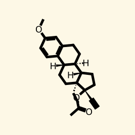 C#C[C@]1(OC(C)=O)CC[C@H]2[C@@H]3CCc4cc(OC)ccc4[C@H]3CC[C@@]21CC